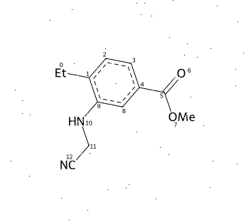 CCc1ccc(C(=O)OC)cc1NCC#N